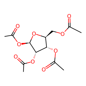 CC(=O)OC[C@@H]1O[C@H](OC(C)=O)[C@@H](OC(C)=O)[C@H]1OC(C)=O